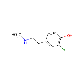 O=C(O)NCCc1ccc(O)c(F)c1